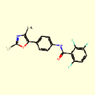 Cc1nc(C(F)(F)F)oc1-c1ccc(NC(=O)c2c(F)ccc(F)c2F)cc1